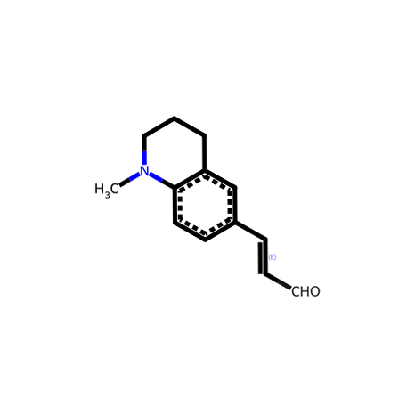 CN1CCCc2cc(/C=C/C=O)ccc21